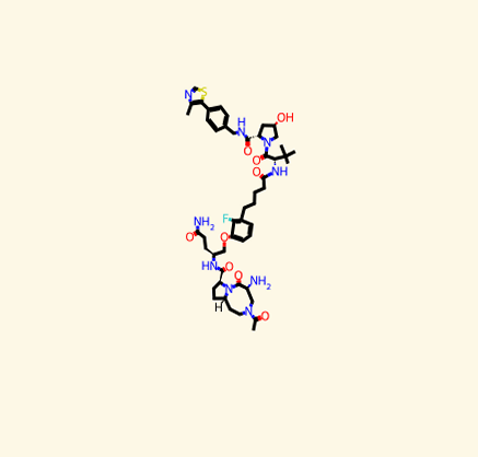 CC(=O)N1CC[C@H]2CC[C@@H](C(=O)N[C@@H](CCC(N)=O)COc3cccc(CCCCC(=O)N[C@H](C(=O)N4C[C@H](O)C[C@H]4C(=O)NCc4ccc(-c5scnc5C)cc4)C(C)(C)C)c3F)N2C(=O)[C@@H](N)C1